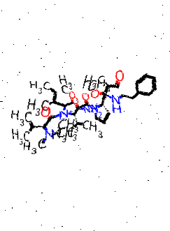 CC[C@H](C)[C@@H]([C@@H](CC(=O)N1CCC[C@H]1[C@](NCCc1ccccc1)(OC)[C@@H](C)C=O)OC)[N+](C)(C(=O)[C@H](C(C)C)N(C)C)[C@H](C(N)=O)C(C)C